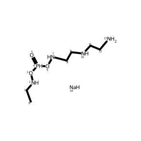 CCNO[PH](=O)ONCCNCCN.[NaH]